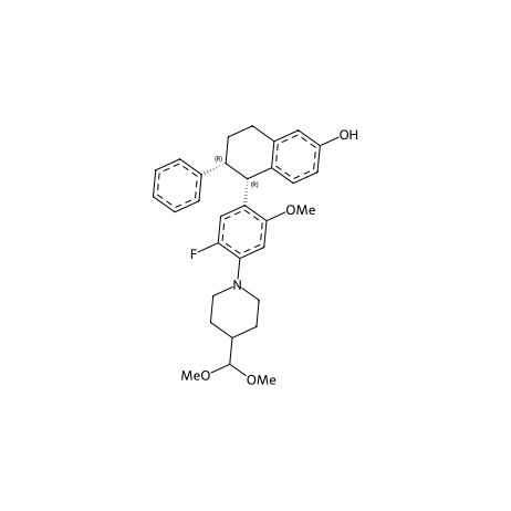 COc1cc(N2CCC(C(OC)OC)CC2)c(F)cc1[C@H]1c2ccc(O)cc2CC[C@H]1c1ccccc1